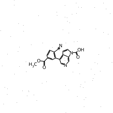 COC(=O)c1ccc(C#N)c(-c2cncc3c2ccn3C(=O)O)c1